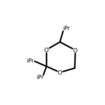 CC(C)C1OCOC(C(C)C)(C(C)C)O1